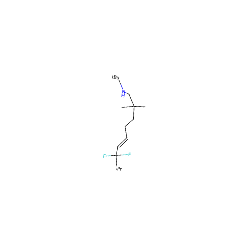 CC(C)C(F)(F)/C=C/CCC(C)(C)CNC(C)(C)C